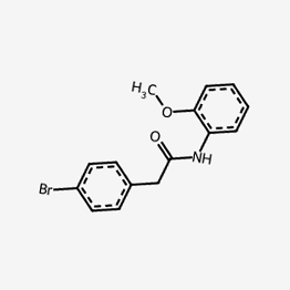 COc1ccccc1NC(=O)Cc1ccc(Br)cc1